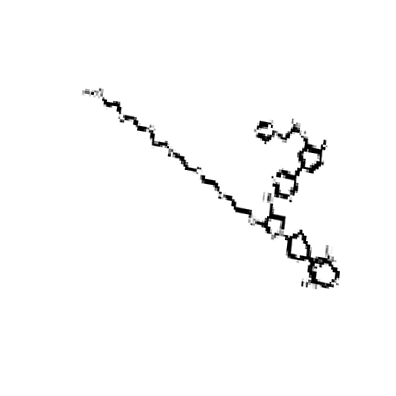 COCCOCCOCCOCCOCCOCCCOc1nn(C2CCC(N3[C@@H]4CC[C@H]3COC4)CC2)cc1Nc1ncc(-c2ccc(Cl)c(O[C@@H](C)Cn3cncn3)c2)cn1